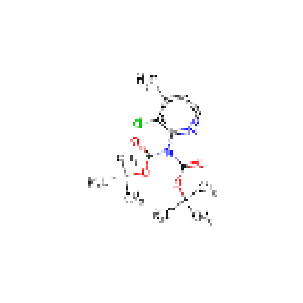 Cc1ccnc(N(C(=O)OC(C)(C)C)C(=O)OC(C)(C)C)c1Cl